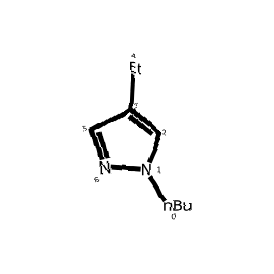 CCCCn1cc(CC)cn1